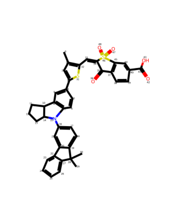 Cc1cc(-c2ccc3c(c2)C2CCCC2N3c2ccc3c(c2)-c2ccccc2C3(C)C)sc1/C=C1\C(=O)c2ccc(C(=O)O)cc2S1(=O)=O